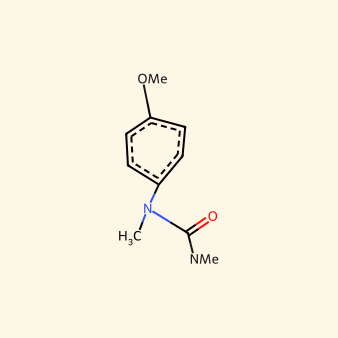 CNC(=O)N(C)c1ccc(OC)cc1